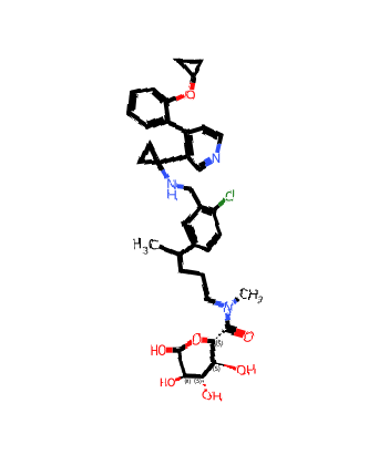 CC(CCCN(C)C(=O)[C@H]1OC(O)[C@H](O)[C@@H](O)[C@@H]1O)c1ccc(Cl)c(CNC2(c3cnccc3-c3ccccc3OC3CC3)CC2)c1